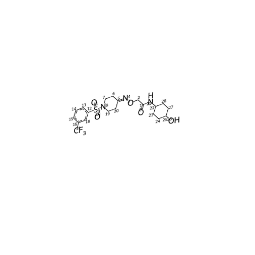 O=C(CON=C1CCN(S(=O)(=O)c2cccc(C(F)(F)F)c2)CC1)NC1CCC(O)CC1